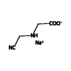 N#CCNCC(=O)[O-].[Na+]